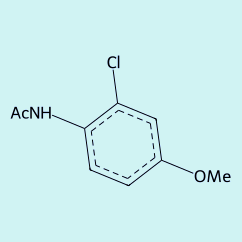 COc1ccc(NC(C)=O)c(Cl)c1